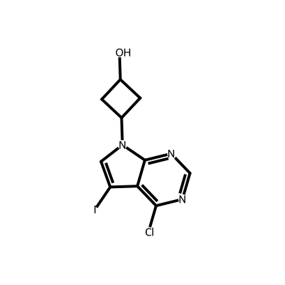 OC1CC(n2cc(I)c3c(Cl)ncnc32)C1